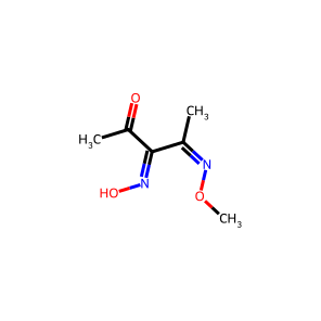 CON=C(C)C(=NO)C(C)=O